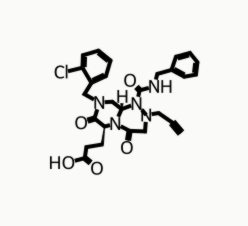 C#CCN1CC(=O)N2[C@@H](CCC(=O)O)C(=O)N(Cc3ccccc3Cl)C[C@@H]2N1C(=O)NCc1ccccc1